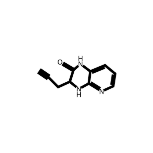 C#CCC1Nc2ncccc2NC1=O